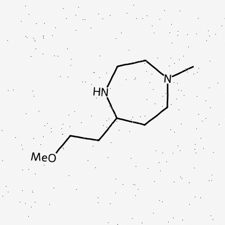 COCCC1CCN(C)CCN1